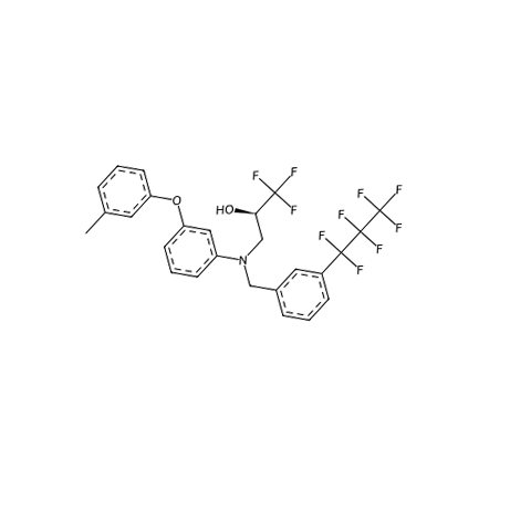 Cc1cccc(Oc2cccc(N(Cc3cccc(C(F)(F)C(F)(F)C(F)(F)F)c3)C[C@@H](O)C(F)(F)F)c2)c1